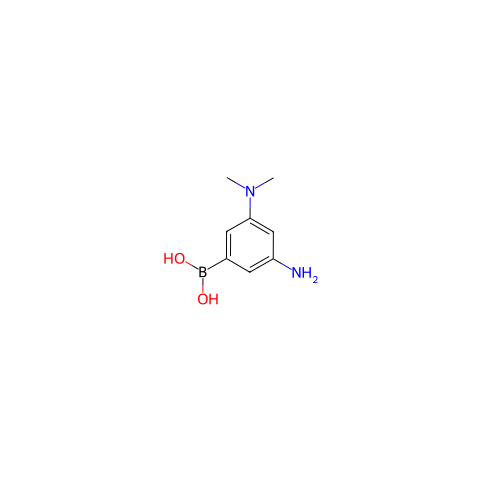 CN(C)c1cc(N)cc(B(O)O)c1